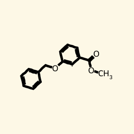 COC(=O)c1[c]c(OCc2ccccc2)ccc1